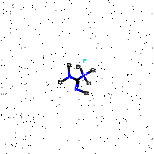 CCN=C(N(CC)CC)[N+](CC)(CC)CC.[F-]